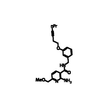 CCCC#CCCOc1cccc(CNC(=O)c2ccc(COC)nc2N)c1